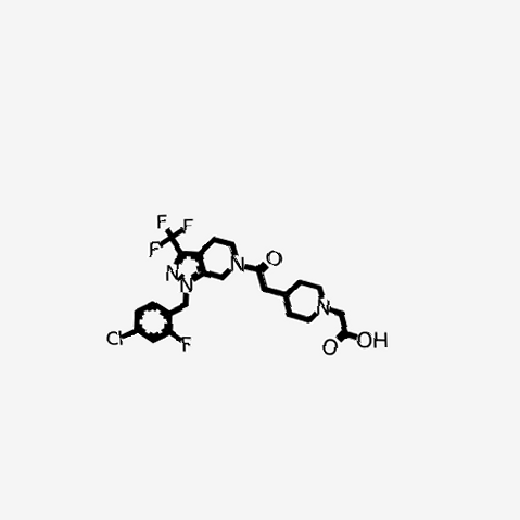 O=C(O)CN1CCC(CC(=O)N2CCc3c(C(F)(F)F)nn(Cc4ccc(Cl)cc4F)c3C2)CC1